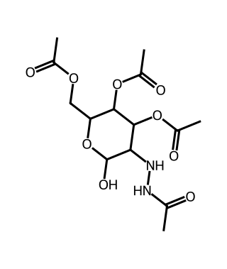 CC(=O)NNC1C(O)OC(COC(C)=O)C(OC(C)=O)C1OC(C)=O